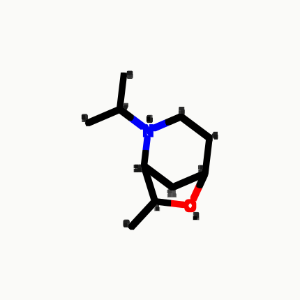 CC1OC2CCN(C(C)C)C1C2